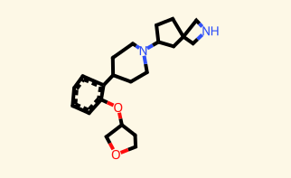 c1ccc(C2CCN(C3CCC4(CNC4)C3)CC2)c(OC2CCOC2)c1